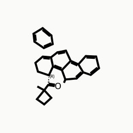 CC1C=c2ccccc2=c2ccc3c(c21)[C@H](C(=O)C1(C)CCC1)CCC=3.c1ccccc1